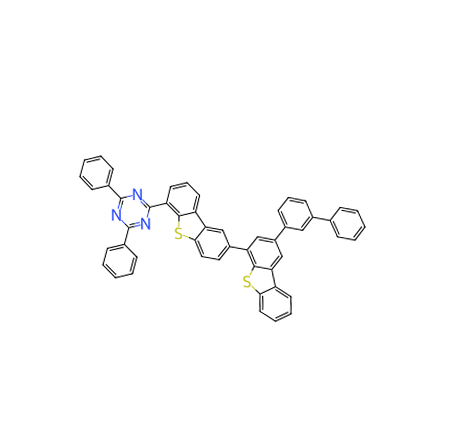 c1ccc(-c2cccc(-c3cc(-c4ccc5sc6c(-c7nc(-c8ccccc8)nc(-c8ccccc8)n7)cccc6c5c4)c4sc5ccccc5c4c3)c2)cc1